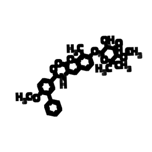 COc1ccc(C(=O)Nc2cc3ccc(O[C@@H]4OC(C)(C)C(OC)C(O)[C@@H]4O)c(C)c3oc2=O)cc1-c1ccccc1